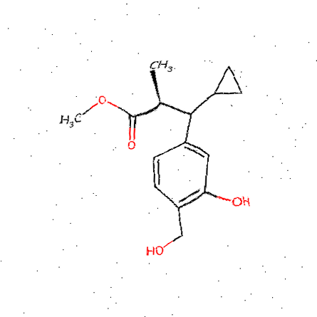 COC(=O)[C@@H](C)C(c1ccc(CO)c(O)c1)C1CC1